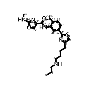 CCCNCCCCc1csc(-c2ccc(Cl)c(NC(=O)c3coc(NC)n3)c2)n1